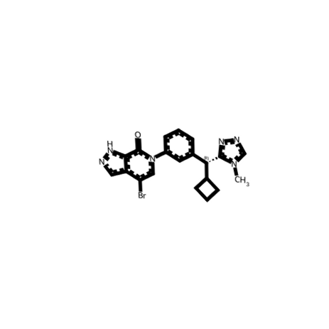 Cn1cnnc1[C@@H](c1cccc(-n2cc(Br)c3cn[nH]c3c2=O)c1)C1CCC1